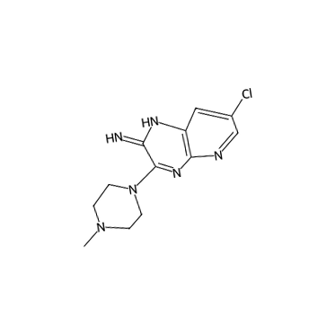 CN1CCN(c2nc3ncc(Cl)cc3[nH]c2=N)CC1